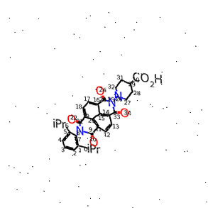 CC(C)c1cccc(C(C)C)c1N1C(=O)c2ccc3c4c(ccc(c24)C1=O)C(=O)N(N1CCC(C(=O)O)CC1)C3=O